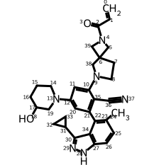 C=CC(=O)N1CC2(CCN(c3cc(N4CCCC(O)C4)cc(-c4c(C)ccc5[nH]nc(C6CC6)c45)c3C#N)C2)C1